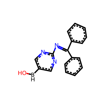 OBc1cnc(N=C(c2ccccc2)c2ccccc2)nc1